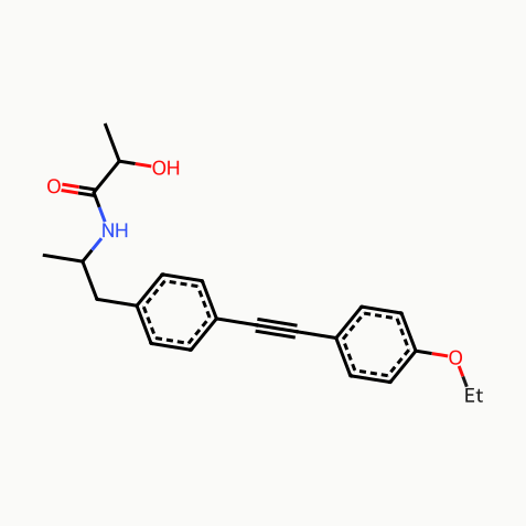 CCOc1ccc(C#Cc2ccc(CC(C)NC(=O)C(C)O)cc2)cc1